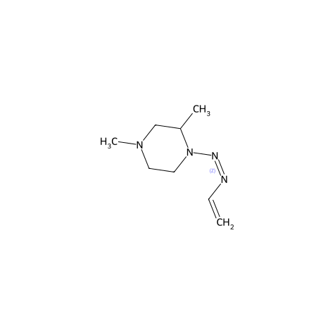 C=C/N=N\N1CCN(C)CC1C